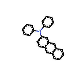 [c]1cc2cc3ccccc3cc2cc1N(c1ccccc1)c1ccccc1